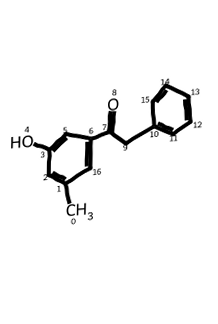 Cc1cc(O)cc(C(=O)Cc2ccccc2)c1